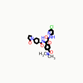 CN(C)C(=O)c1ccc2c(NC(=O)[C@H]3CC[C@H](N4CCCC4=O)CC3)c(C(=O)Nc3ccc(Cl)cn3)oc2c1